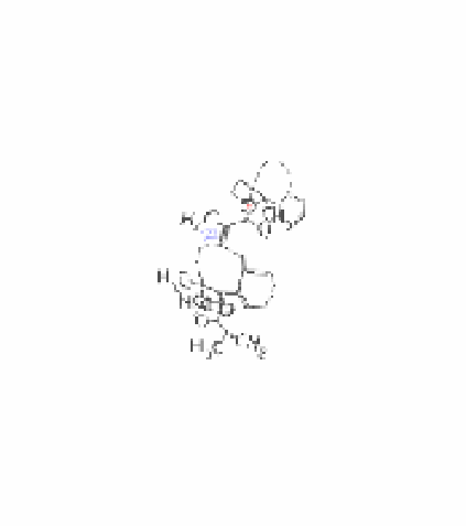 C=C(C)C(=O)OC1(C)c2ccccc2C/C(=C(/C)C(=O)OC2(C)c3ccccc3CCCCC23CCC3)CCC1(C)C